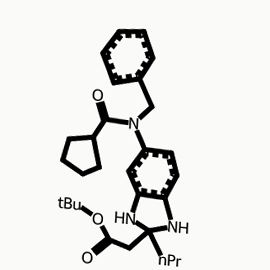 CCCC1(CC(=O)OC(C)(C)C)Nc2ccc(N(Cc3ccccc3)C(=O)C3CCCC3)cc2N1